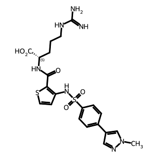 Cn1cc(-c2ccc(S(=O)(=O)Nc3ccsc3C(=O)N[C@@H](CCCNC(=N)N)C(=O)O)cc2)cn1